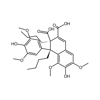 CCCC[C@]1(C(=O)O)C(C(=O)O)=Cc2cc(OC)c(O)c(OC)c2[C@]1(CCCC)c1cc(OC)c(O)c(OC)c1